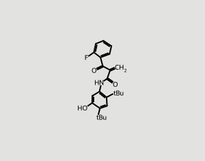 C=C(C(=O)Nc1cc(O)c(C(C)(C)C)cc1C(C)(C)C)C(=O)c1ccccc1F